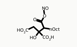 CCCCCCCCC(C(=O)ON=O)C(O)(CC(=O)O)C(=O)O